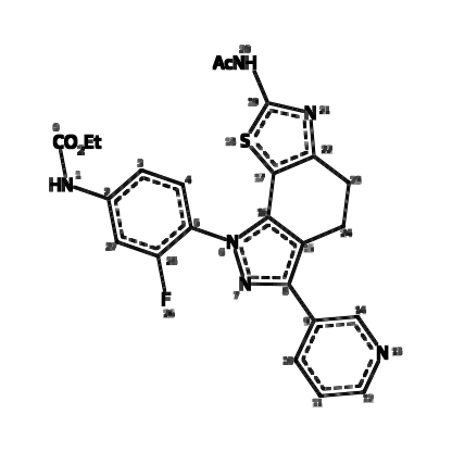 CCOC(=O)Nc1ccc(-n2nc(-c3cccnc3)c3c2-c2sc(NC(C)=O)nc2CC3)c(F)c1